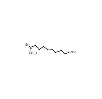 CCCCCCCCCCCCCCCC[CH][C@H](CC)C(=O)O